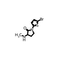 CNC1CCN(c2ccc(Br)s2)C1=O